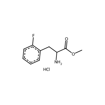 COC(=O)C(N)Cc1ccccc1F.Cl